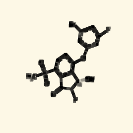 CS(=O)(=O)c1ccc(Oc2cc(F)cc(Br)c2)c2c1C(=O)C(F)[C@H]2O